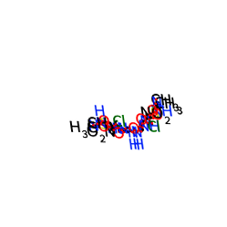 CN(C)CCCNS(=O)(=O)c1ccc2c3c(cc([N+](=O)[O-])c2c1)N(C(=O)c1cc2cc(NC(=O)Nc4ccc5[nH]c(C(=O)N6CC(CCl)c7c6cc([N+](=O)[O-])c6cc(S(=O)(=O)NCCCN(C)C)ccc76)cc5c4)ccc2[nH]1)CC3CCl